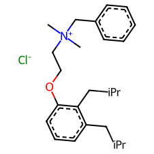 CC(C)Cc1cccc(OCC[N+](C)(C)Cc2ccccc2)c1CC(C)C.[Cl-]